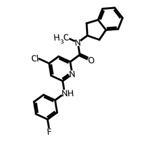 CN(C(=O)c1cc(Cl)cc(Nc2cccc(F)c2)n1)C1Cc2ccccc2C1